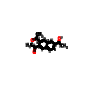 CC(=O)c1ccc2[c]c(C(C)=O)c(C(C)=O)cc2c1